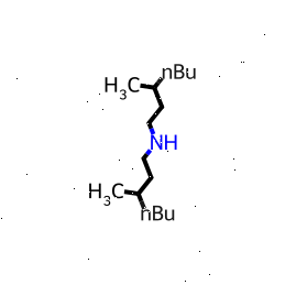 CCCCC(C)CCNCCC(C)CCCC